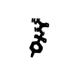 Cc1ccc(S(=O)(=O)[N]NC(N)=O)cc1